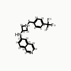 FC(F)(F)c1ccc(CN2CC(Nc3ccc4cnccc4c3)C2)cc1